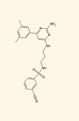 Cc1cc(C)cc(-c2cc(NCCCNS(=O)(=O)c3cccc(C#N)c3)nc(N)n2)c1